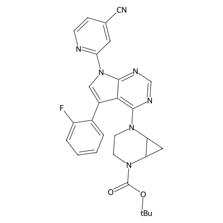 CC(C)(C)OC(=O)N1CCN(c2ncnc3c2c(-c2ccccc2F)cn3-c2cc(C#N)ccn2)C2CC21